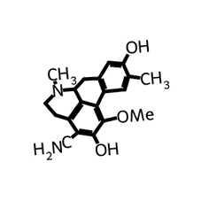 COc1c(O)c(CN)c2c3c1-c1cc(C)c(O)cc1CC3N(C)CC2